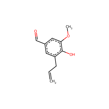 C=CCc1cc(C=O)cc(OC)c1O